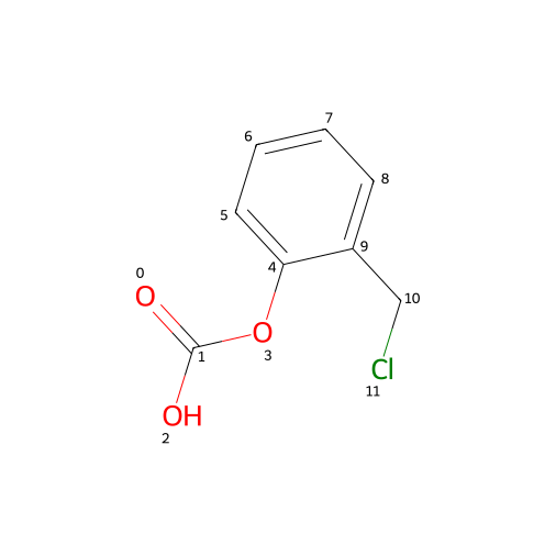 O=C(O)Oc1ccccc1CCl